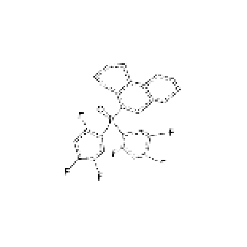 O=P(c1cc(F)c(F)cc1F)(c1cc(F)c(F)cc1F)c1cc2ccccc2c2ccccc12